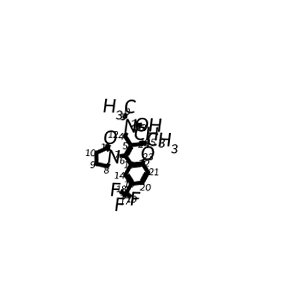 CCN(O)CC1=C(N2CCCC2=O)c2cc(C(F)(F)F)ccc2OC1(C)C